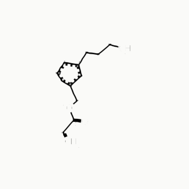 C=CC(=O)OCc1cccc(CCCC)c1